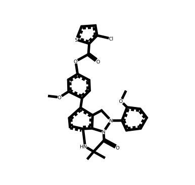 COc1cc(OC(=O)c2sccc2Cl)ccc1-c1ccc2c3c1CN(c1ccccc1OC)N3C(=O)C(C)(C)N2